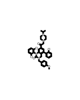 COc1ccc(CN2Cc3c(-c4ccccc4Cl)cc(C(=O)CN4CCN(C(C)C)CC4)cc3N(c3c(Cl)cccc3Cl)C2=O)cc1